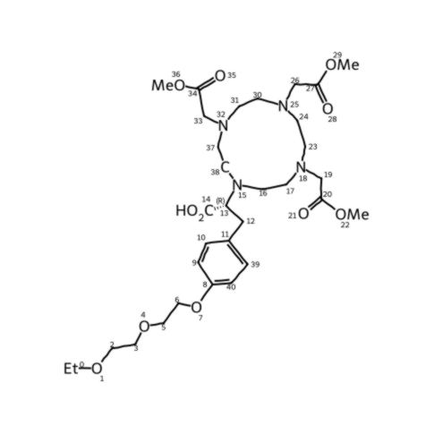 CCOCCOCCOc1ccc(C[C@H](C(=O)O)N2CCN(CC(=O)OC)CCN(CC(=O)OC)CCN(CC(=O)OC)CC2)cc1